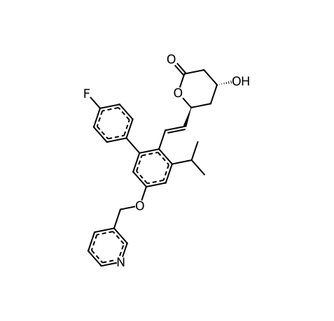 CC(C)c1cc(OCc2cccnc2)cc(-c2ccc(F)cc2)c1/C=C/[C@@H]1C[C@@H](O)CC(=O)O1